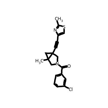 Cc1nc(C#CC23CN(C(=O)c4cccc(Cl)c4)CC2(C)C3)cs1